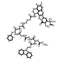 CC[C@@]1(O)C(=O)OCc2c1cc1n(c2=O)Cc2c-1nc1cc(F)c(C)c3c1c2C(NC(=O)CCCNC(=O)CNC(=O)[C@H](Cc1ccccc1)NC(=O)CNC(=O)CNC(=O)C(CC(=O)OC(C)(C)C)NC(=O)OCC1c2ccccc2-c2ccccc21)CC3